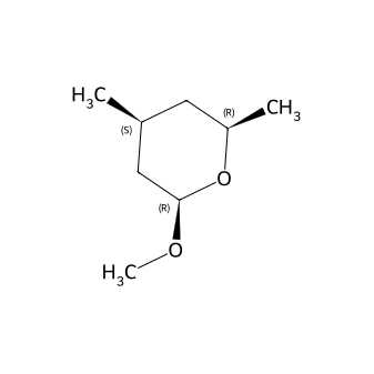 CO[C@H]1C[C@@H](C)C[C@@H](C)O1